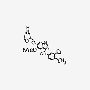 COc1cc2c(Nc3ccc(C)c(Cl)c3)ncnc2cc1OCC1CNCCO1